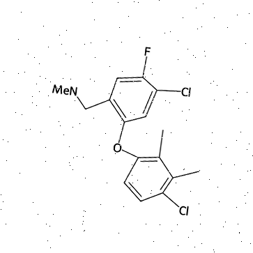 CNCc1cc(F)c(Cl)cc1Oc1ccc(Cl)c(C)c1C